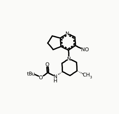 C[C@@H]1C[C@H](NC(=O)OC(C)(C)C)CN(c2c(N=O)cnc3c2CCC3)C1